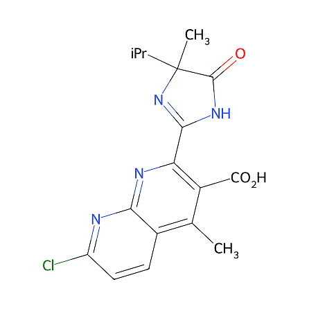 Cc1c(C(=O)O)c(C2=NC(C)(C(C)C)C(=O)N2)nc2nc(Cl)ccc12